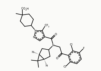 CC1(C(=O)O)CCC(n2ncc(C(=O)N(CC(=O)c3c(Cl)ccc(F)c3Cl)C3C[C@@H]4[C@H](C3)C4(C)C)c2C(F)(F)F)CC1